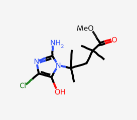 COC(=O)C(C)(C)CC(C)(C)n1c(N)nc(Cl)c1O